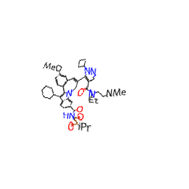 CCN(CCNC)C(=O)c1cnn(C2CCC2)c1C1=Cc2cc(OC)ccc2-c2c(C3CCCCC3)c3ccc(C(=O)NS(=O)(=O)C(C)C)cc3n2C1